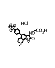 CN1CCc2c(-c3ccc(S(=O)(=O)N(C)C)cc3)cc3c(c2C1)N(C)C(=O)C3=NOCC(=O)O.Cl